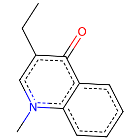 CCc1cn(C)c2ccccc2c1=O